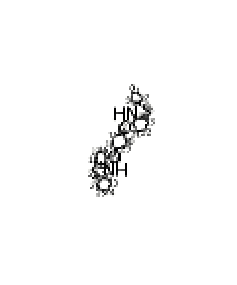 c1ccc2c(c1)Nc1c(Oc3ccc(Oc4cccc5c4Nc4ccccc4S5)cc3)cccc1S2